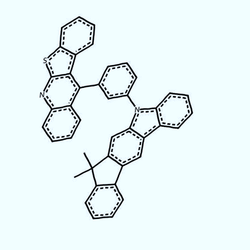 CC1(C)c2ccccc2-c2cc3c4ccccc4n(-c4cccc(-c5c6ccccc6nc6sc7ccccc7c56)c4)c3cc21